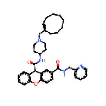 O=C(NCc1ccccn1)c1ccc2c(c1)C(C(=O)NC1CCN(CC3=CCCCCCCC3)CC1)c1ccccc1O2